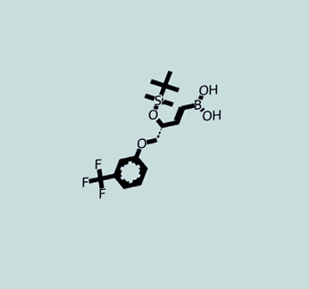 CC(C)(C)[Si](C)(C)O[C@H](C=CB(O)O)COc1cccc(C(F)(F)F)c1